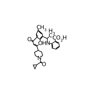 Cc1cc(C(C)Nc2ccccc2C(=O)O)c2oc(C3CCN(C(=O)C4CC4)CC3)cc(=O)c2c1